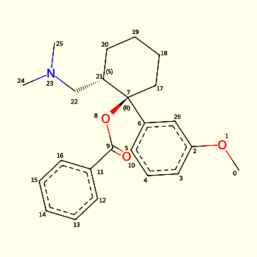 COc1cccc([C@@]2(OC(=O)c3ccccc3)CCCC[C@H]2CN(C)C)c1